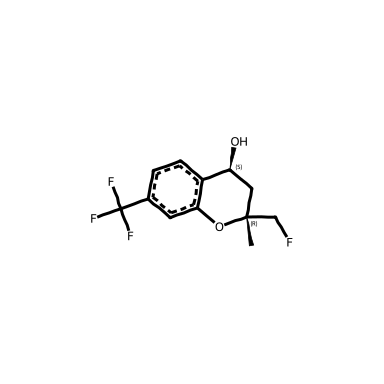 C[C@]1(CF)C[C@H](O)c2ccc(C(F)(F)F)cc2O1